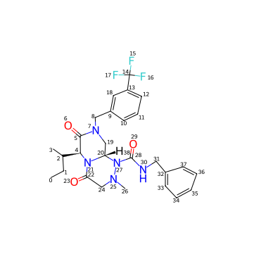 CCC(C)[C@H]1C(=O)N(Cc2cccc(C(F)(F)F)c2)C[C@H]2N1C(=O)CN(C)N2C(=O)NCc1ccccc1